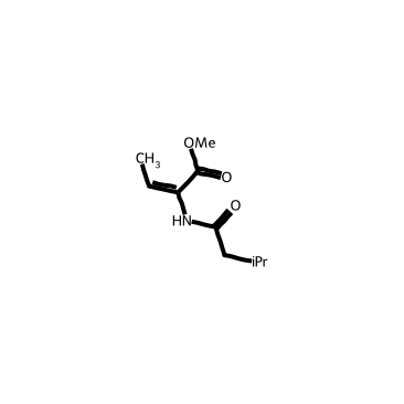 CC=C(NC(=O)CC(C)C)C(=O)OC